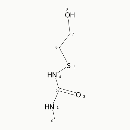 CNC(=O)NSCCO